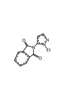 CCn1nccc1N1C(=O)c2ccccc2C1=O